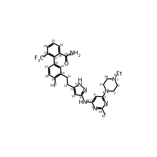 CCN1CCN(c2cc(Nc3cc(CCc4cc(-c5c(C(N)=O)cccc5C(F)(F)F)ccc4F)[nH]n3)nc(C)n2)CC1